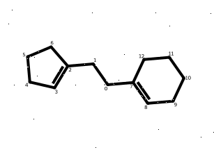 [CH](CC1=CCCC1)C1=CCCCC1